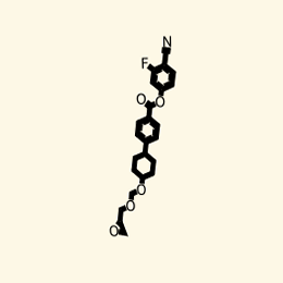 N#Cc1ccc(OC(=O)c2ccc(C3CCC(OCOCC4CO4)CC3)cc2)cc1F